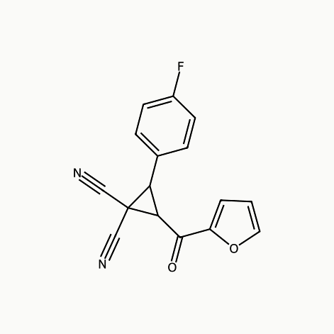 N#CC1(C#N)C(C(=O)c2ccco2)C1c1ccc(F)cc1